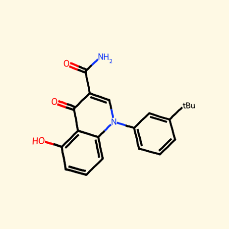 CC(C)(C)c1cccc(-n2cc(C(N)=O)c(=O)c3c(O)cccc32)c1